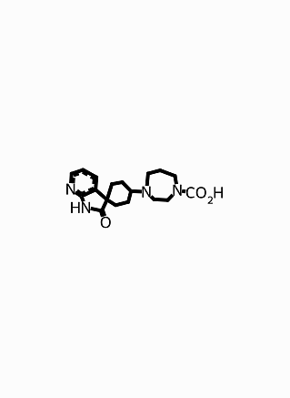 O=C(O)N1CCCN(C2CCC3(CC2)C(=O)Nc2ncccc23)CC1